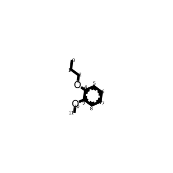 CCCOc1cc[c]cc1OC